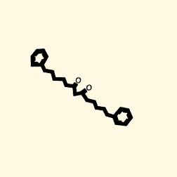 O=C(CCCCCc1ccccc1)CC(=O)CCCCCc1ccccc1